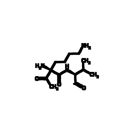 CC(=O)[C@](N)(CCCCN)C(=O)N[C@H]([C]=O)C(C)C